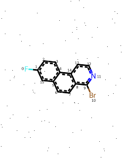 Fc1ccc2c(ccc3c(Br)nccc32)c1